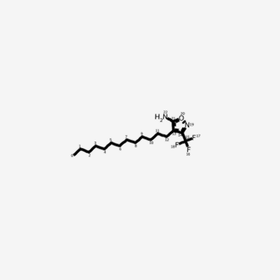 CCCCCCCCCCCCCc1c(C(F)(F)F)noc1N